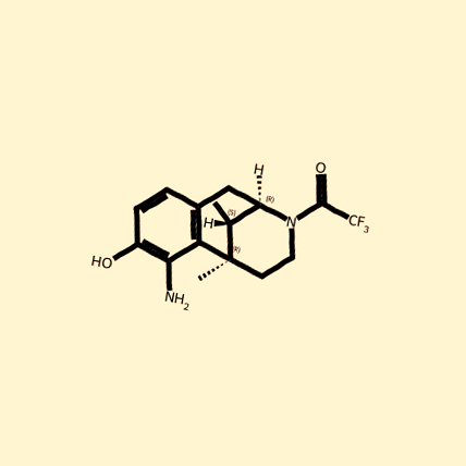 C[C@@H]1[C@H]2Cc3ccc(O)c(N)c3[C@]1(C)CCN2C(=O)C(F)(F)F